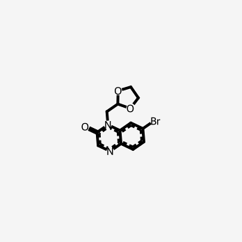 O=c1cnc2ccc(Br)cc2n1CC1OCCO1